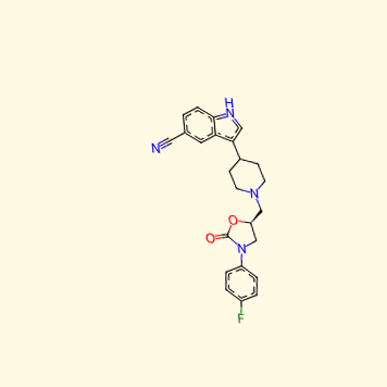 N#Cc1ccc2[nH]cc(C3CCN(C[C@H]4CN(c5ccc(F)cc5)C(=O)O4)CC3)c2c1